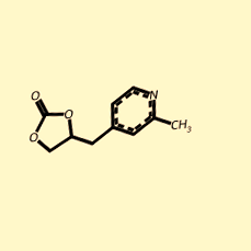 Cc1cc(CC2COC(=O)O2)ccn1